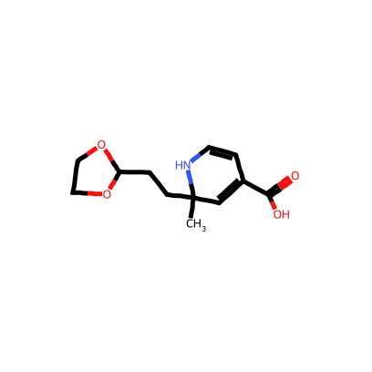 CC1(CCC2OCCO2)C=C(C(=O)O)C=CN1